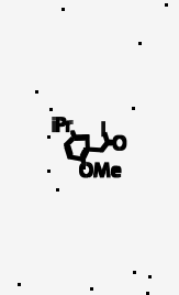 COc1ccc(C(C)C)cc1CC(=O)I